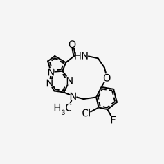 CN1Cc2c(ccc(F)c2Cl)OCCNC(=O)c2ccn3ncc1nc23